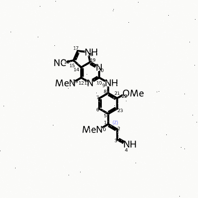 CN/C(=C\C=N)c1ccc(Nc2nc(NC)c3c(C#N)c[nH]c3n2)c(OC)c1